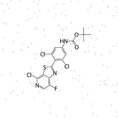 CC(C)(C)OC(=O)Nc1cc(Cl)c(-c2nc3c(F)cnc(Cl)c3s2)c(Cl)c1